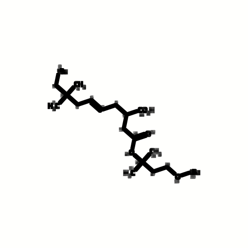 CC(C)(C)CC(C)(C)C/C=C/CC(CC(=O)OC(C)(C)CCOC(C)(C)C)C(=O)O